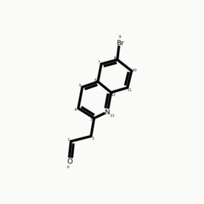 O=CCc1ccc2cc(Br)ccc2n1